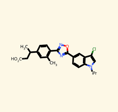 Cc1cc(C(C)CC(=O)O)ccc1-c1noc(-c2ccc3c(c2)c(Cl)cn3C(C)C)n1